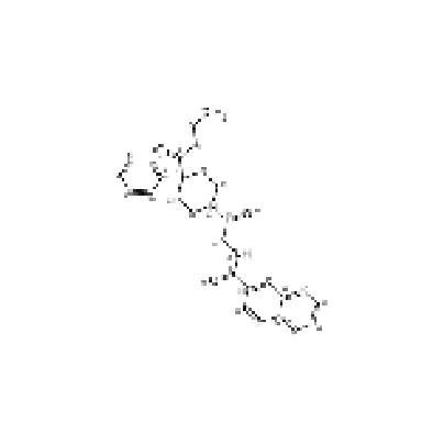 CCCC(=O)C1(c2ccccc2)CCN(C(=O)CNC(=O)c2ccc3ccccc3c2)CC1